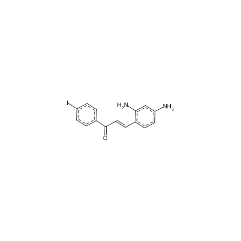 Nc1ccc(C=CC(=O)c2ccc(I)cc2)c(N)c1